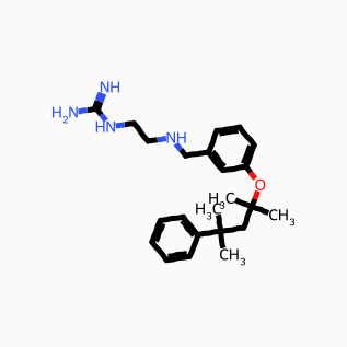 CC(C)(CC(C)(C)c1ccccc1)Oc1cccc(CNCCNC(=N)N)c1